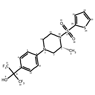 C[C@@H]1CN(c2ccc(C(O)(C(F)(F)F)C(F)(F)F)cc2)CCN1S(=O)(=O)c1cccs1